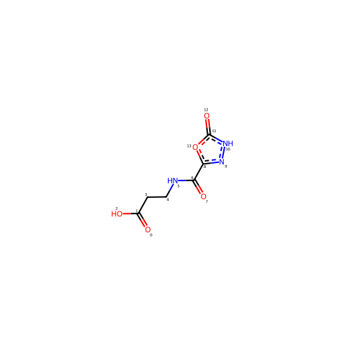 O=C(O)CCNC(=O)c1n[nH]c(=O)o1